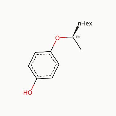 CCCCCC[C@@H](C)Oc1ccc(O)cc1